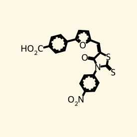 O=C(O)c1ccc(-c2ccc(C=C3SC(=S)N(c4ccc([N+](=O)[O-])cc4)C3=O)o2)cc1